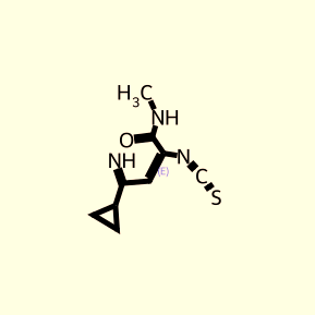 CNC(=O)/C(=C\C(=N)C1CC1)N=C=S